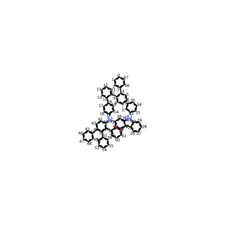 c1ccc(-c2ccccc2-c2ccccc2-c2ccc(N(c3ccc4c5ccccc5n(-c5ccccc5)c4c3)c3ccc(-c4ccccc4)c(-c4ccccc4)c3-c3ccccc3)cc2)cc1